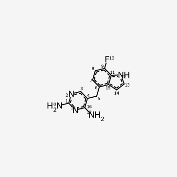 Nc1ncc(Cc2ccc(F)c3[nH]ccc23)c(N)n1